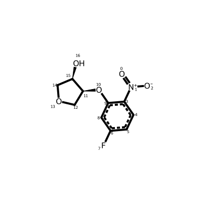 O=[N+]([O-])c1ccc(F)cc1O[C@H]1COC[C@H]1O